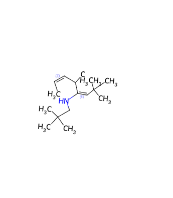 C/C=C\C(C)/C(=C\C(C)(C)C)NCC(C)(C)C